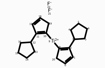 C1=CC(C2CCCC2)=[C]([Ti+2][C]2=C(C3CCCC3)C=CC2)C1.[F-].[F-]